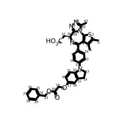 Cc1sc2c(c1C)C(c1ccc(N3CCc4cc(OCC(=O)OCc5ccccc5)ccc43)cc1)=N[C@@H](CC(=O)O)c1nnc(C)n1-2